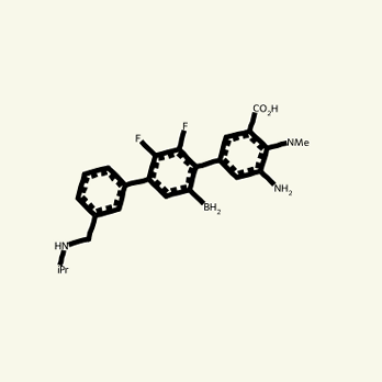 Bc1cc(-c2cccc(CNC(C)C)c2)c(F)c(F)c1-c1cc(N)c(NC)c(C(=O)O)c1